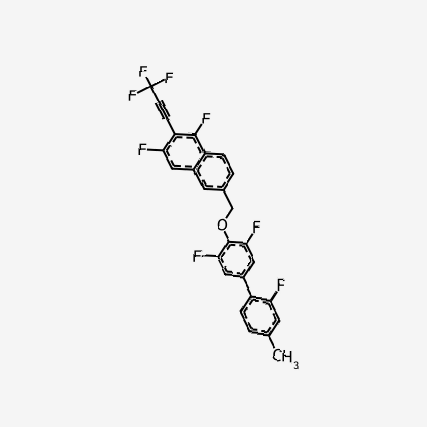 Cc1ccc(-c2cc(F)c(OCc3ccc4c(F)c(C#CC(F)(F)F)c(F)cc4c3)c(F)c2)c(F)c1